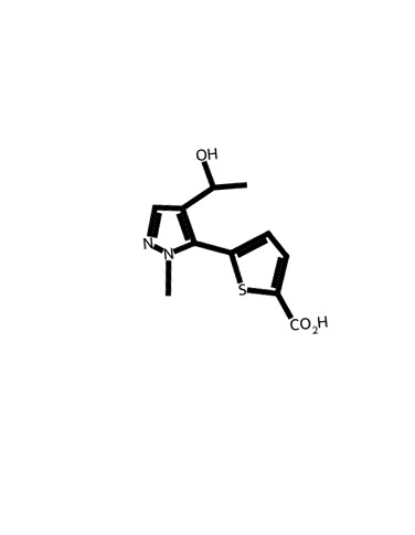 CC(O)c1cnn(C)c1-c1ccc(C(=O)O)s1